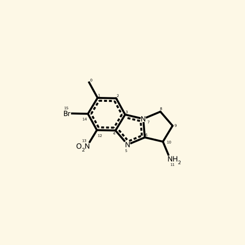 Cc1cc2c(nc3n2CCC3N)c([N+](=O)[O-])c1Br